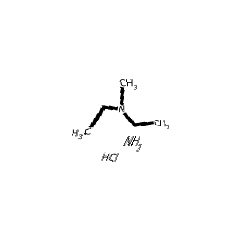 C[CH2][Al]([CH3])[CH2]C.Cl.N